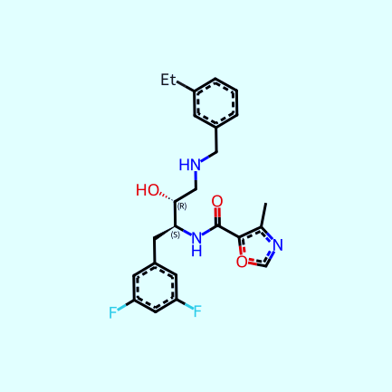 CCc1cccc(CNC[C@@H](O)[C@H](Cc2cc(F)cc(F)c2)NC(=O)c2ocnc2C)c1